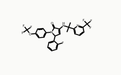 CC(C)(NC1=CC(c2ccccc2F)N(c2ccc(OC(F)(F)F)cc2)C1=O)c1cccc(C(F)(F)F)n1